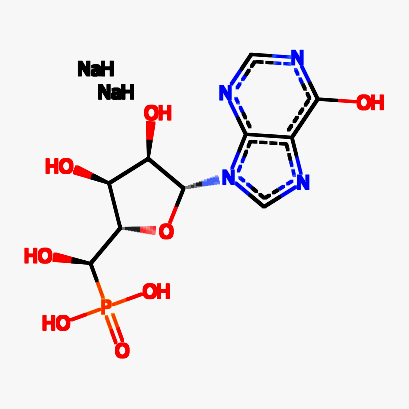 O=P(O)(O)[C@@H](O)[C@H]1O[C@@H](n2cnc3c(O)ncnc32)[C@H](O)[C@@H]1O.[NaH].[NaH]